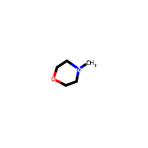 CN1C[CH]OCC1